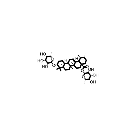 C[C@H]1[C@H](C)CC[C@]2(C(=O)O[C@@H]3O[C@@H](C)[C@H](O)[C@@H](O)[C@H]3O)CC[C@]3(C)C(=CC[C@@H]4[C@@]5(C)CC[C@H](O[C@@H]6O[C@@H](C)[C@H](O)[C@@H](O)[C@H]6O)C(C)(C)C5CC[C@]43C)[C@H]12